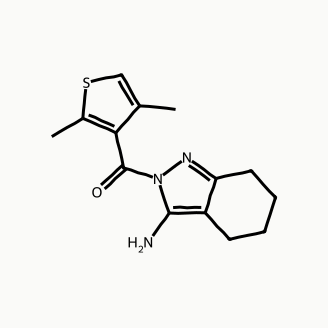 Cc1csc(C)c1C(=O)n1nc2c(c1N)CCCC2